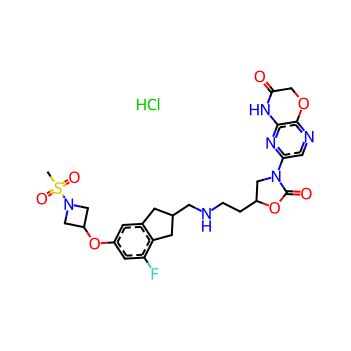 CS(=O)(=O)N1CC(Oc2cc(F)c3c(c2)CC(CNCCC2CN(c4cnc5c(n4)NC(=O)CO5)C(=O)O2)C3)C1.Cl